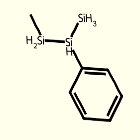 C[SiH2][SiH]([SiH3])c1ccccc1